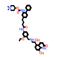 CCOc1cc(NC(=O)CCCc2ccc(-c3ccccc3)c(NC(=O)OC3CC[N+](C)(C)CC3)c2)ccc1CNC[C@H](O)c1ccc(O)c2[nH]c(=O)ccc12